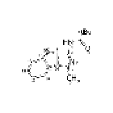 Cn1nc(NC(=O)C(C)(C)C)c2sc3ccccc3c21